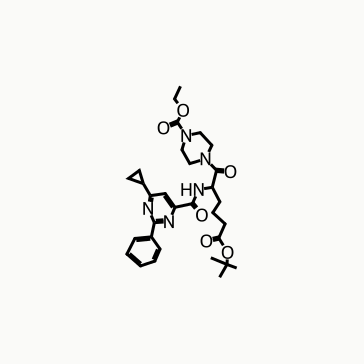 CCOC(=O)N1CCN(C(=O)C(CCCC(=O)OC(C)(C)C)NC(=O)c2cc(C3CC3)nc(-c3ccccc3)n2)CC1